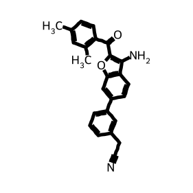 Cc1ccc(C(=O)c2oc3cc(-c4cccc(CC#N)c4)ccc3c2N)c(C)c1